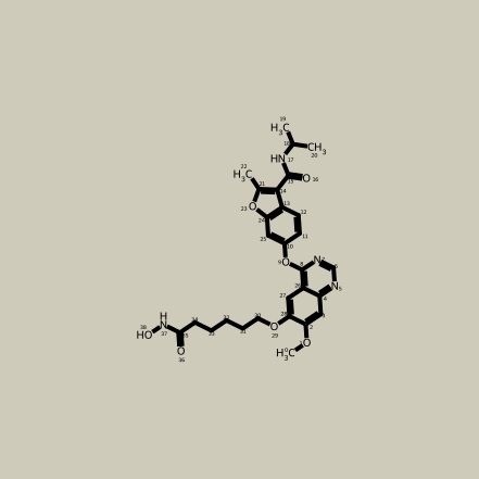 COc1cc2ncnc(Oc3ccc4c(C(=O)NC(C)C)c(C)oc4c3)c2cc1OCCCCCC(=O)NO